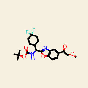 COCC(=O)c1ccc2oc([C@@H](NC(=O)OC(C)(C)C)C3CCC(F)(F)CC3)nc2c1